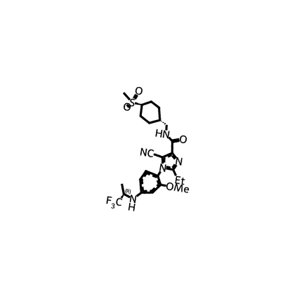 CCc1nc(C(=O)NC[C@H]2CC[C@H](S(C)(=O)=O)CC2)c(C#N)n1-c1ccc(N[C@H](C)C(F)(F)F)cc1OC